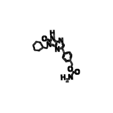 NC(=O)OCc1ccc(-c2cnc3[nH]c(=O)n(CC4CCCCC4)c3n2)cc1